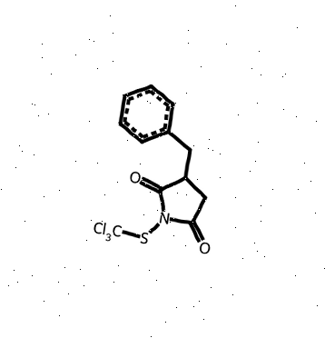 O=C1CC(Cc2ccccc2)C(=O)N1SC(Cl)(Cl)Cl